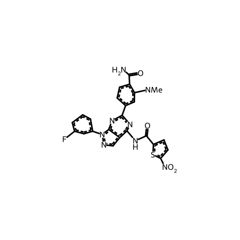 CNc1cc(-c2nc(NC(=O)c3ccc([N+](=O)[O-])s3)c3cnn(-c4cccc(F)c4)c3n2)ccc1C(N)=O